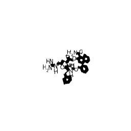 N=C(N)NCCC[C@H](NC(=O)[C@H](Cc1ccccc1)NC(=O)OCc1ccccc1)C(=O)COc1ccc2ccccc2c1C(N)=O